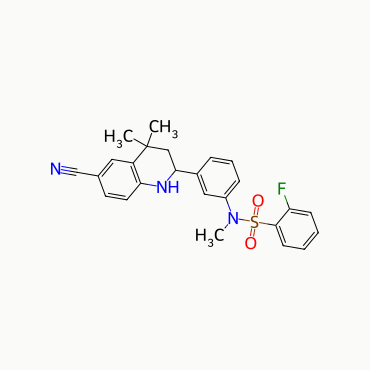 CN(c1cccc(C2CC(C)(C)c3cc(C#N)ccc3N2)c1)S(=O)(=O)c1ccccc1F